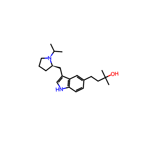 CC(C)N1CCC[C@@H]1Cc1c[nH]c2ccc(CCC(C)(C)O)cc12